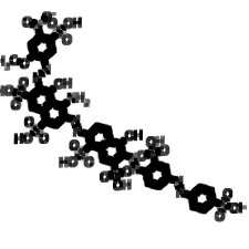 COc1cc([N+](=O)[O-])c(S(=O)(=O)O)cc1N=Nc1c(S(=O)(=O)O)cc2c(S(=O)(=O)O)cc(N=Nc3ccc4c(O)c(N=Nc5ccc(N=Nc6ccc(S(=O)(=O)O)cc6)cc5S(=O)(=O)O)c(S(=O)(=O)O)cc4c3S(=O)(=O)O)c(N)c2c1O